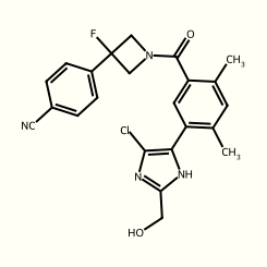 Cc1cc(C)c(-c2[nH]c(CO)nc2Cl)cc1C(=O)N1CC(F)(c2ccc(C#N)cc2)C1